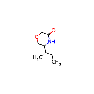 CC[C@H](C)[C@H]1COCC(=O)N1